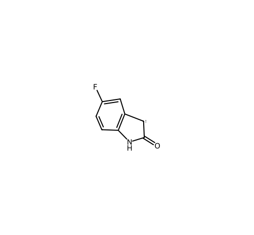 O=C1[C]c2cc(F)ccc2N1